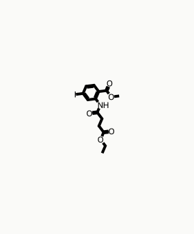 CCOC(=O)CCC(=O)Nc1cc(I)ccc1C(=O)OC